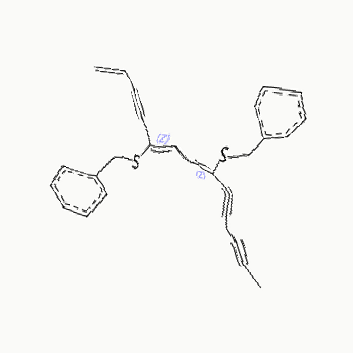 C=CC#C/C(=C/C=C(/C#CC#CC)SCc1ccccc1)SCc1ccccc1